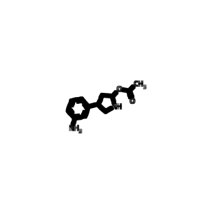 CC(=O)OC1CC(c2cccc(N)c2)CN1